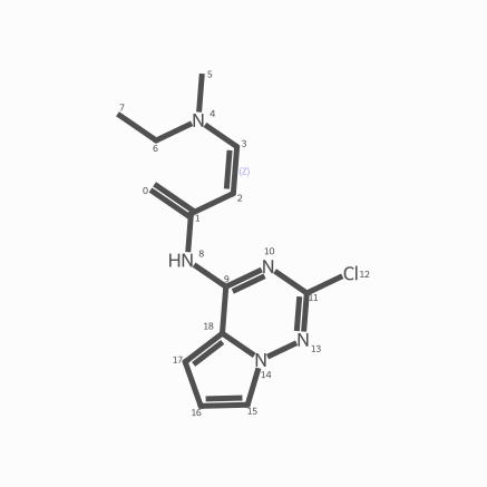 C=C(/C=C\N(C)CC)Nc1nc(Cl)nn2cccc12